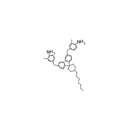 CCCCCCCC1CCC(c2ccc(Cc3ccc(N)c(C)c3)cc2)(c2ccc(Cc3ccc(N)c(C)c3)cc2)CC1